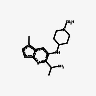 CC(N)c1nc2ccn(C)c2cc1NC1CCN(C(=O)O)CC1